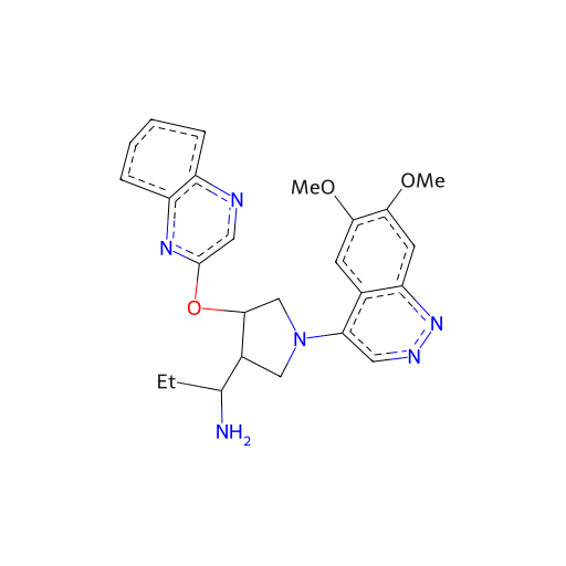 CCC(N)C1CN(c2cnnc3cc(OC)c(OC)cc23)CC1Oc1cnc2ccccc2n1